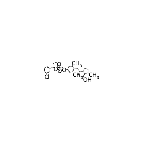 Cc1cc(OCP2(=O)OCCC(c3cccc(Cl)c3)O2)cc(C)c1Cc1ccc(O)c2c1CCC2C